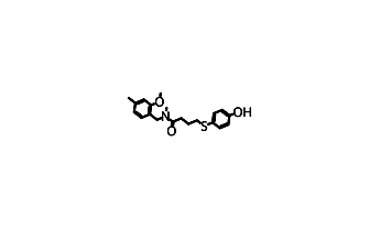 COc1cc(C)ccc1CN(C)C(=O)CCCSc1ccc(O)cc1